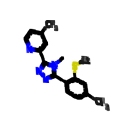 CCSc1cc(C(F)(F)F)ccc1-c1nnc(-c2cc(C(F)(F)F)ccn2)n1C